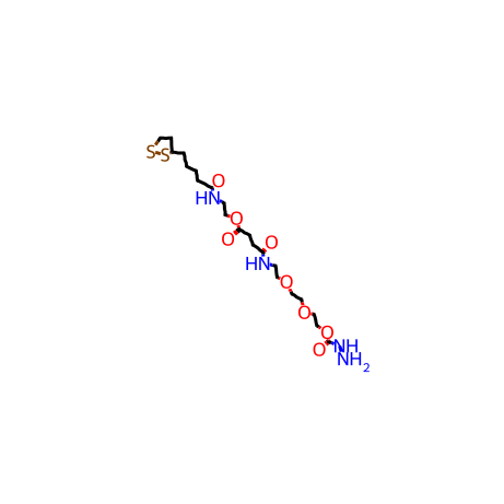 NNC(=O)OCCOCCOCCNC(=O)CCC(=O)OCCNC(=O)CCCCC1CCSS1